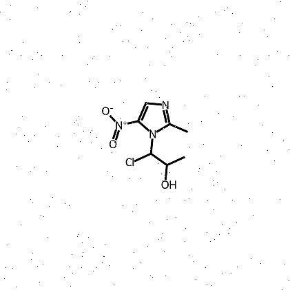 Cc1ncc([N+](=O)[O-])n1C(Cl)C(C)O